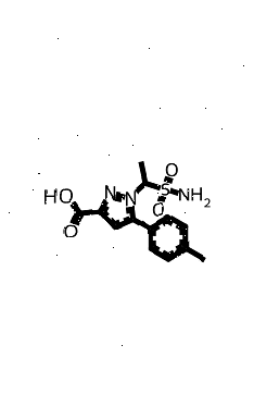 Cc1ccc(-c2cc(C(=O)O)nn2C(C)S(N)(=O)=O)cc1